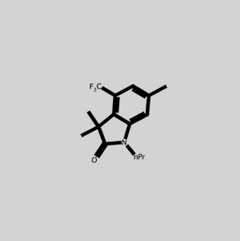 CCCN1C(=O)C(C)(C)c2c1cc(C)cc2C(F)(F)F